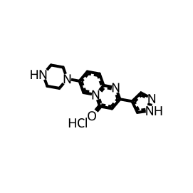 Cl.O=c1cc(-c2cn[nH]c2)nc2ccc(N3CCNCC3)cn12